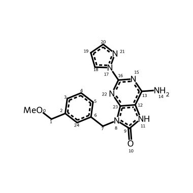 COCc1cccc(Cn2c(=O)[nH]c3c(N)nc(-n4cccn4)nc32)c1